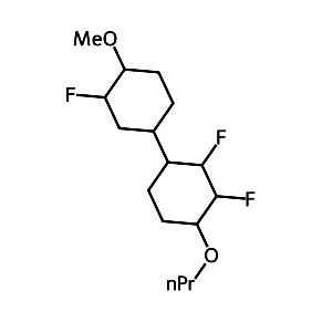 CCCOC1CCC(C2CCC(OC)C(F)C2)C(F)C1F